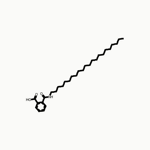 CCCCCCCCCCCCCCCCCCCCCCNC(=O)c1ccccc1C(=O)O